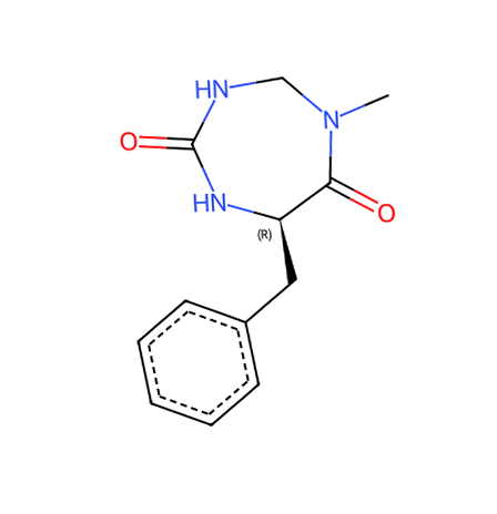 CN1CNC(=O)N[C@H](Cc2ccccc2)C1=O